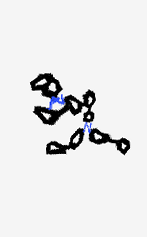 c1ccc(-c2ccc(N(c3ccc(-c4ccccc4)cc3)c3ccc(-c4ccccc4-c4ccc5c6ccccc6n(-c6ccc7ccccc7c6)c5c4)cc3)cc2)cc1